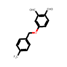 O=Cc1ccc(OCc2ccc(C(F)(F)F)cc2)cc1C=O